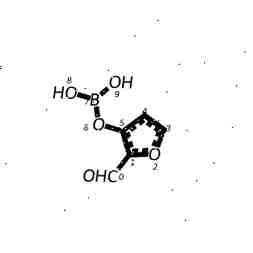 O=Cc1occc1OB(O)O